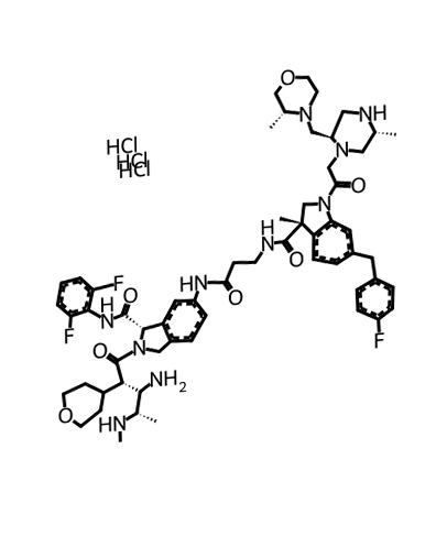 CN[C@@H](C)C(N)[C@@H](C(=O)N1Cc2ccc(NC(=O)CCNC(=O)[C@]3(C)CN(C(=O)CN4C[C@@H](C)NC[C@@H]4CN4CCOC[C@H]4C)c4cc(Cc5ccc(F)cc5)ccc43)cc2[C@H]1C(=O)Nc1c(F)cccc1F)C1CCOCC1.Cl.Cl.Cl